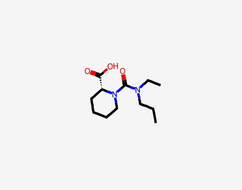 CCCN(CC)C(=O)N1CCCC[C@@H]1C(=O)O